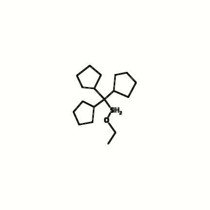 CCO[SiH2]C(C1CCCC1)(C1CCCC1)C1CCCC1